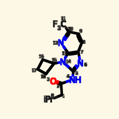 CC(C)CC(=O)Nc1nc2ccc(C(F)(F)F)nc2n1C1CCC1